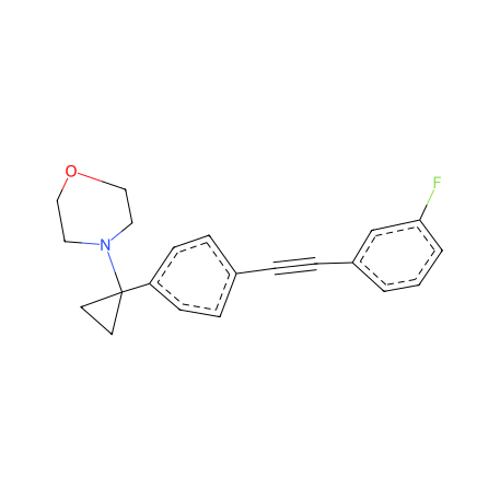 Fc1cccc(C#Cc2ccc(C3(N4CCOCC4)CC3)cc2)c1